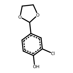 Oc1ccc(C2OCCO2)cc1Cl